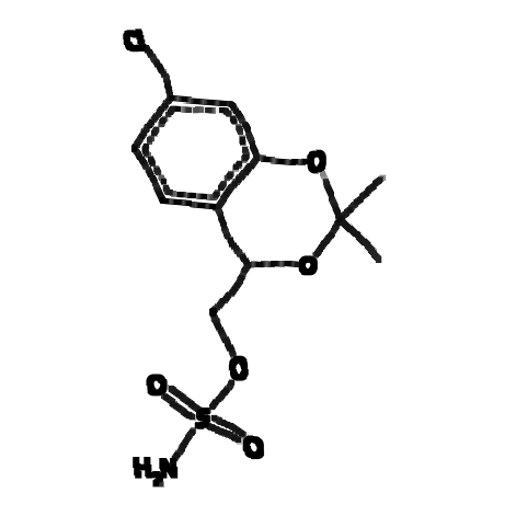 CC1(C)Oc2cc(Cl)ccc2C(COS(N)(=O)=O)O1